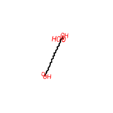 O=C(O)CCCCCCCCCCCCCCCCCCCC(O)C(=O)O